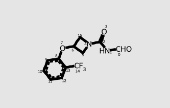 O=CNC(=O)N1CC(Oc2ccccc2C(F)(F)F)C1